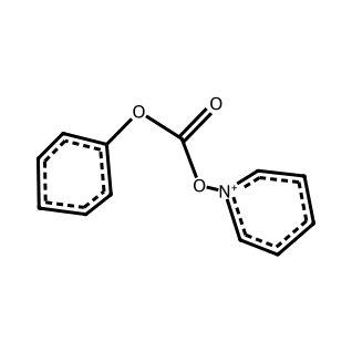 O=C(Oc1ccccc1)O[n+]1ccccc1